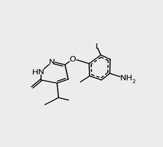 C=C1NN=C(Oc2c(C)cc(N)cc2I)C=C1C(C)C